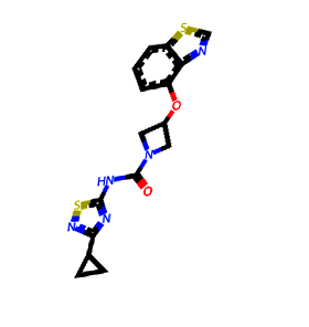 O=C(Nc1nc(C2CC2)ns1)N1CC(Oc2cccc3scnc23)C1